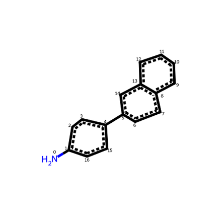 Nc1ccc(-c2ccc3ccccc3c2)cc1